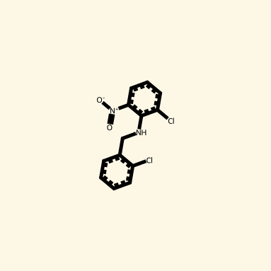 O=[N+]([O-])c1cccc(Cl)c1NCc1ccccc1Cl